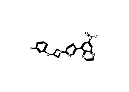 O=[N+]([O-])c1cc(-c2ccc(N3CC(Oc4cccc(F)c4)C3)nc2)c2nccnc2c1